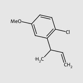 [CH2]C(C=C)c1cc(OC)ccc1Cl